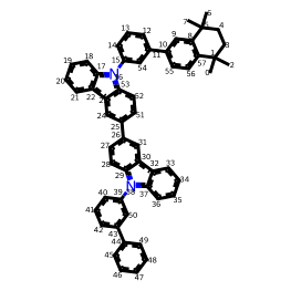 CC1(C)CCC(C)(C)c2cc(-c3cccc(-n4c5ccccc5c5cc(-c6ccc7c(c6)c6ccccc6n7-c6cccc(-c7ccccc7)c6)ccc54)c3)ccc21